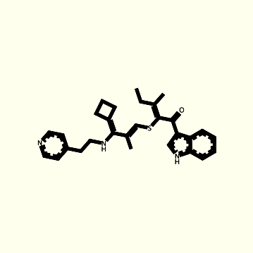 CC/C(C)=C(\S/C=C(\C)C(NCCc1ccncc1)=C1CCC1)C(=O)c1c[nH]c2ccccc12